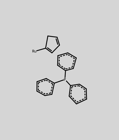 [Ru][C]1=CC=CC1.c1ccc(P(c2ccccc2)c2ccccc2)cc1